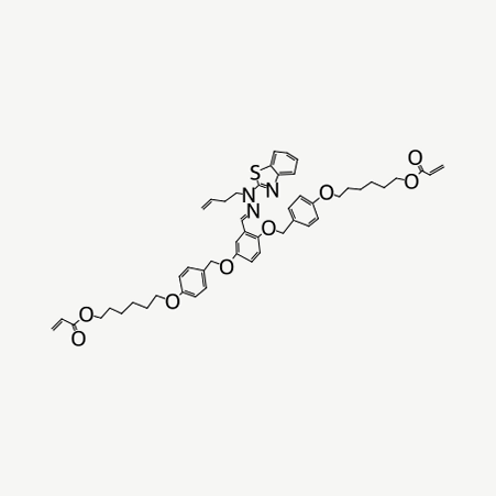 C=CCCN(/N=C/c1cc(OCc2ccc(OCCCCCCOC(=O)C=C)cc2)ccc1OCc1ccc(OCCCCCCOC(=O)C=C)cc1)c1nc2ccccc2s1